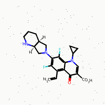 C=Cc1c(F)c(N2C[C@@H]3CCCN[C@@H]3C2)c(F)c2c1c(=O)c(C(=O)O)cn2C1CC1